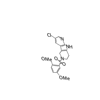 COc1ccc(OC)c(S(=O)(=O)N2CCc3[nH]c4ncc(Cl)cc4c3C2)c1